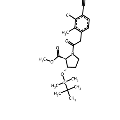 COC(=O)[C@@H]1[C@@H](O[Si](C)(C)C(C)(C)C)CCN1C(=O)Cc1ccc(C#N)c(Cl)c1C